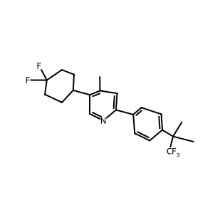 Cc1cc(-c2ccc(C(C)(C)C(F)(F)F)cc2)ncc1C1CCC(F)(F)CC1